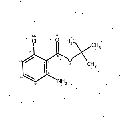 CC(C)(C)OC(=O)c1c(N)cccc1Cl